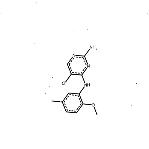 COc1ccc(I)cc1Nc1nc(N)ncc1Cl